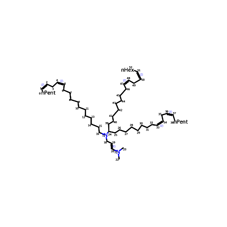 CCCCC/C=C\C/C=C\CCCCCCCCCCCN(C/C=C/N(C)C)C(CCCCCCCC/C=C\C/C=C\CCCCC)CCCCCCCC/C=C\C/C=C\CCCCCC